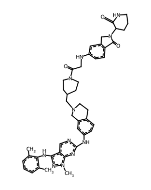 Cc1cccc(C)c1Nc1nn(C)c2nc(Nc3ccc4c(c3)CN(CC3CCN(C(=O)CNc5ccc6c(c5)CN(C5CCCNC5=O)C6=O)CC3)CC4)ncc12